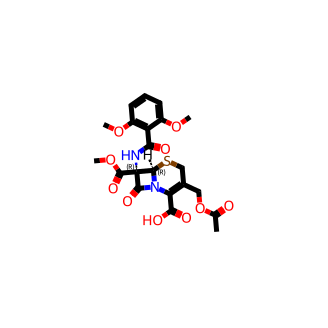 COC(=O)[C@]1(NC(=O)c2c(OC)cccc2OC)C(=O)N2C(C(=O)O)=C(COC(C)=O)CS[C@@H]21